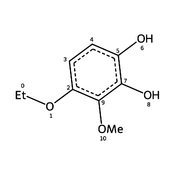 CCOc1ccc(O)c(O)c1OC